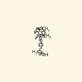 COc1cc(-c2cc(F)c(COc3ccc(CC[C@H](C)CC(=O)O)cc3)cc2[C@H]2CCCC2(C)C)c(F)cn1